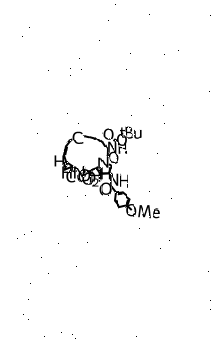 COc1ccc(C(=O)N[C@@H]2C[C@H]3C(=O)N[C@]4(C(=O)O)C[C@H]4/C=C\CCCCC[C@H](NC(=O)OC(C)(C)C)C(=O)N3C2)cc1